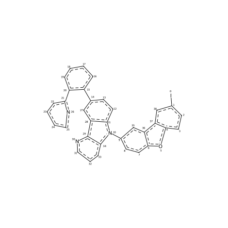 Ic1ccc2oc3ccc(-n4c5ccc(-c6ccccc6-c6ccccn6)cc5c5ncccc54)cc3c2c1